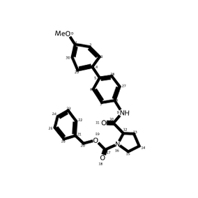 COc1ccc(-c2ccc(NC(=O)C3CCCN3C(=O)OCc3ccccc3)cc2)cc1